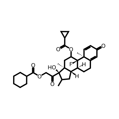 CC1C[C@H]2[C@@H]3CCC4=CC(=O)C=C[C@]4(C)[C@@]3(F)C(OC(=O)C3CC3)C[C@]2(C)[C@@]1(O)C(=O)COC(=O)C1CCCCC1